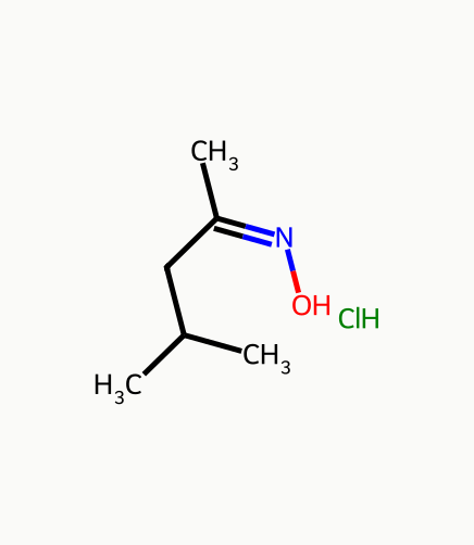 CC(CC(C)C)=NO.Cl